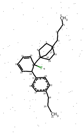 CCCCC12CCC(C3(F)C=CC=CC3c3ccc(CCC)cc3)(CC1)CC2